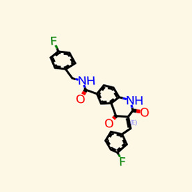 O=C1Nc2ccc(C(=O)NCc3ccc(F)cc3)cc2C(=O)/C1=C\c1cccc(F)c1